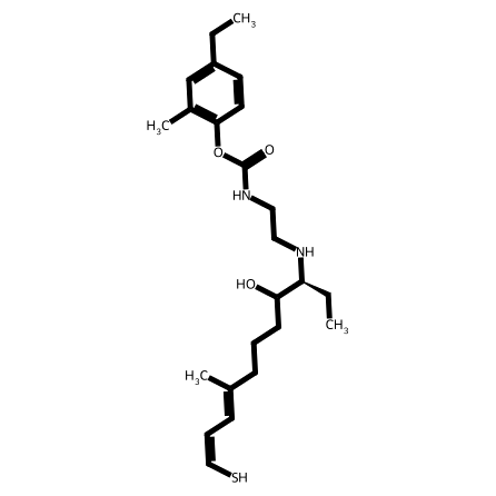 CCc1ccc(OC(=O)NCCN[C@@H](CC)C(O)CCC/C(C)=C/C=C\S)c(C)c1